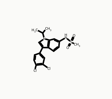 CC(C)n1cc(-c2ccc(Cl)c(Cl)c2)c2ccc(NS(C)(=O)=O)cc21